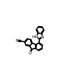 N#Cc1ccc2c(c1)C(=O)c1cccc(-c3nc4ccccc4[nH]3)c1-2